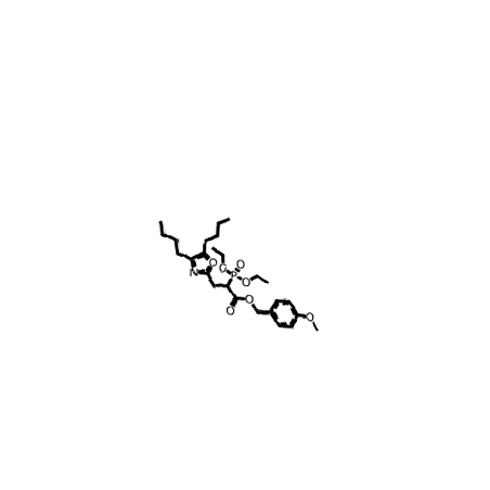 CCCCc1nc(CC(C(=O)OCc2ccc(OC)cc2)P(=O)(OCC)OCC)oc1CCCC